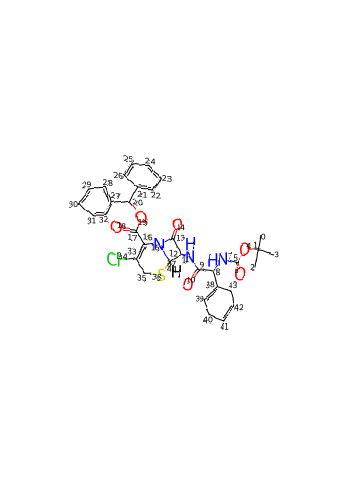 CC(C)(C)OC(=O)NC(C(=O)N[C@@H]1C(=O)N2C(C(=O)OC(c3ccccc3)c3ccccc3)=C(Cl)CS[C@H]12)C1=CCC=CC1